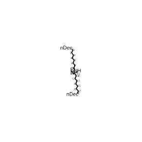 CCCCCCCCCCCCCCCCCCNCCCCCCCCCCCCCCCCCC.CCN